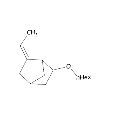 C/C=C1/CC2CC(OCCCCCC)C1C2